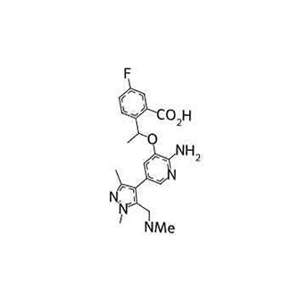 CNCc1c(-c2cnc(N)c(OC(C)c3ccc(F)cc3C(=O)O)c2)c(C)nn1C